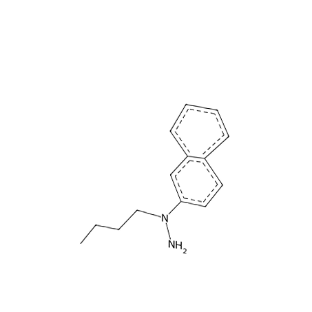 CCCCN(N)c1ccc2ccccc2c1